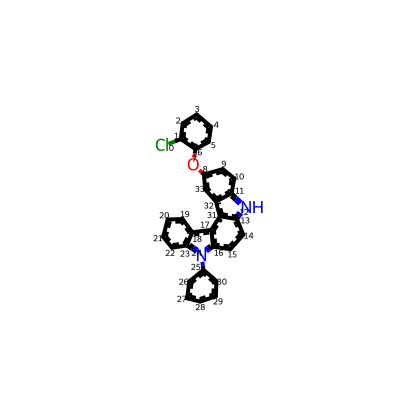 Clc1ccccc1Oc1ccc2[nH]c3ccc4c(c5ccccc5n4-c4ccccc4)c3c2c1